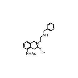 CC(=O)Nc1cccc2c1CC(CC(C)C)N(CCNCc1ccccc1)C2